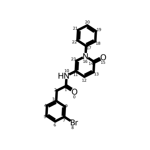 O=C(Cc1cccc(Br)c1)Nc1ccc(=O)n(-c2ccccc2)c1